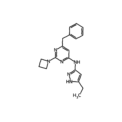 CCc1cc(Nc2cc(Cc3ccccc3)nc(N3CCC3)n2)n[nH]1